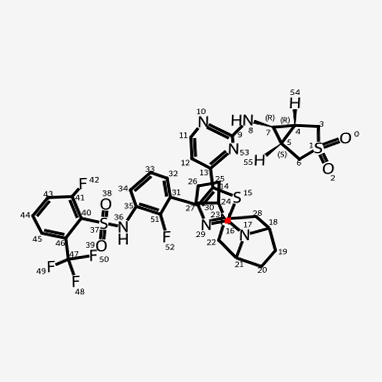 O=S1(=O)C[C@@H]2[C@H](C1)[C@H]2Nc1nccc(-c2sc(N3C4CCC3CN(C3CCC3)C4)nc2-c2cccc(NS(=O)(=O)c3c(F)cccc3C(F)(F)F)c2F)n1